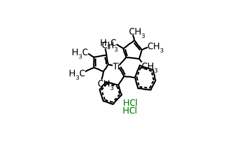 CC1=C(C)C(C)[C]([Ti]([C]2=C(C)C(C)=C(C)C2C)=[C](c2ccccc2)c2ccccc2)=C1C.Cl.Cl